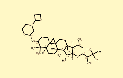 CC(=O)O[C@@H]([C@H]1C[C@@H](C)[C@H]2[C@H](O1)[C@H](O)[C@@]1(C)[C@@H]3CC[C@H]4C(C)(C)[C@@H](O[C@H]5CN(C6CCC6)CCO5)CC[C@@]45CC35CC[C@]21C)C(C)(C)O